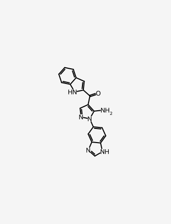 Nc1c(C(=O)c2cc3ccccc3[nH]2)cnn1-c1ccc2[nH]cnc2c1